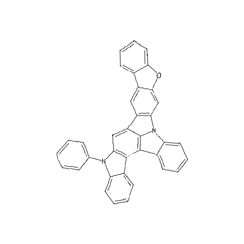 c1ccc(-n2c3ccccc3c3c4c5ccccc5n5c6cc7oc8ccccc8c7cc6c(cc32)c45)cc1